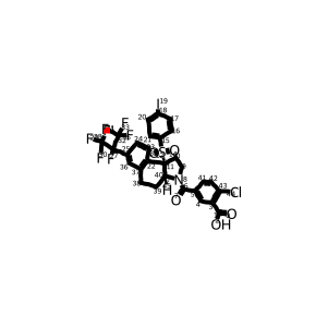 O=C(O)c1cc(C(=O)N2CC[C@@]3(S(=O)(=O)c4ccc(I)cc4)c4ccc(C(F)(C(F)(F)F)C(F)(F)F)cc4CC[C@@H]23)ccc1Cl